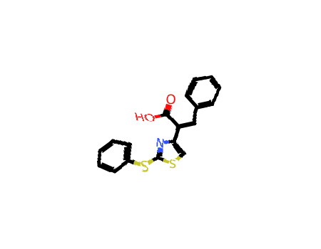 O=C(O)C(Cc1ccccc1)c1csc(Sc2ccccc2)n1